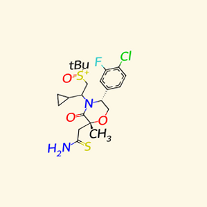 CC(C)(C)[S+]([O-])CC(C1CC1)N1C(=O)[C@@](C)(CC(N)=S)OC[C@H]1c1ccc(Cl)c(F)c1